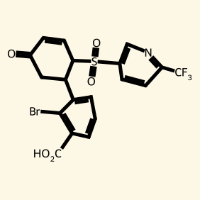 O=C1C=CC(S(=O)(=O)c2ccc(C(F)(F)F)nc2)C(c2cccc(C(=O)O)c2Br)C1